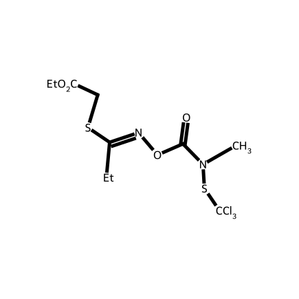 CCOC(=O)CSC(CC)=NOC(=O)N(C)SC(Cl)(Cl)Cl